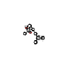 N/C(=C\C(NCc1ccccc1)c1ccc(-c2ccc3c(c2)C2(C4=C3C=CCN4)c3ccccc3N(c3ccccc3)c3ccccc32)cc1)c1ccccc1